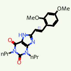 CCCn1c(=O)c2[nH]c(/C=C/c3ccc(OC)cc3OC)nc2n(CCC)c1=O